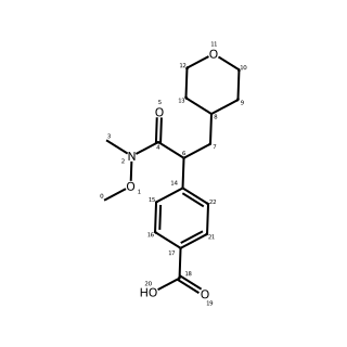 CON(C)C(=O)C(CC1CCOCC1)c1ccc(C(=O)O)cc1